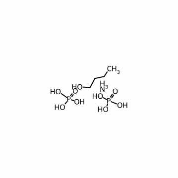 CCCCO.N.O=P(O)(O)O.O=P(O)(O)O